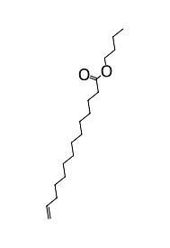 C=CCCCCCCCCCCCC(=O)OCCCC